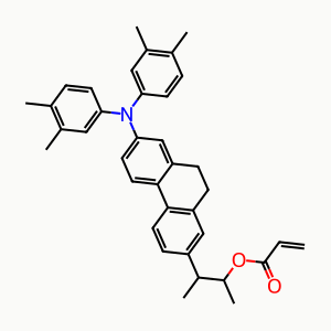 C=CC(=O)OC(C)C(C)c1ccc2c(c1)CCc1cc(N(c3ccc(C)c(C)c3)c3ccc(C)c(C)c3)ccc1-2